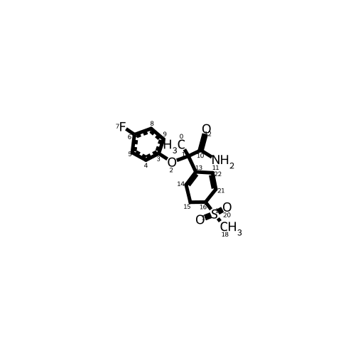 CC(Oc1ccc(F)cc1)(C(N)=O)C1=CCC(S(C)(=O)=O)C=C1